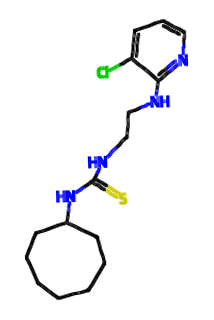 S=C(NCCNc1ncccc1Cl)NC1CCCCCCC1